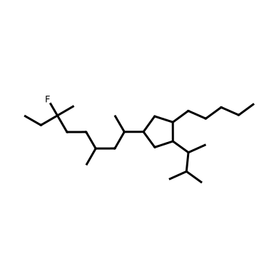 CCCCCC1CC(C(C)CC(C)CCC(C)(F)CC)CC1C(C)C(C)C